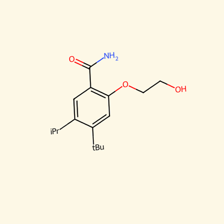 CC(C)c1cc(C(N)=O)c(OCCO)cc1C(C)(C)C